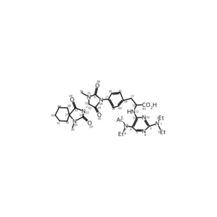 CCN(CC)c1ncc(N(CC)C(C)=O)c(NC(Cc2ccc(N3C(=O)[C@H](N4C(=O)N(C)C5(CCCCC5)C4=O)N(C)C3=O)cc2)C(=O)O)n1